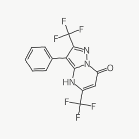 O=c1cc(C(F)(F)F)[nH]c2c(-c3ccccc3)c(C(F)(F)F)nn12